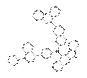 c1ccc(-c2ccc(-c3ccc(N(c4ccc5ccc(-c6cc7ccccc7c7ccccc67)cc5c4)c4c5ccccc5cc5oc6ccccc6c45)cc3)c3ccccc23)cc1